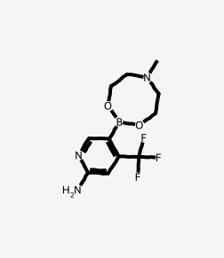 CN1CCOB(c2cnc(N)cc2C(F)(F)F)OCC1